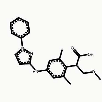 COCC(C(=O)O)c1c(C)cc(Nc2ccn(-c3ccccc3)n2)cc1C